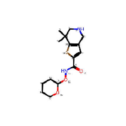 CC1(C)CNCc2cc(C(=O)NOC3CCCCO3)sc21